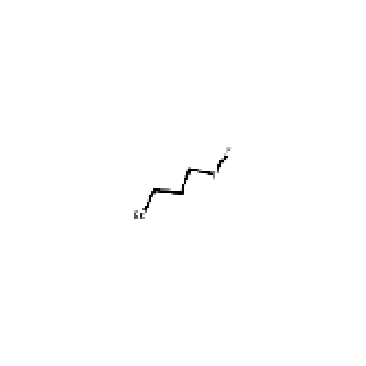 CCCCC[I+]F